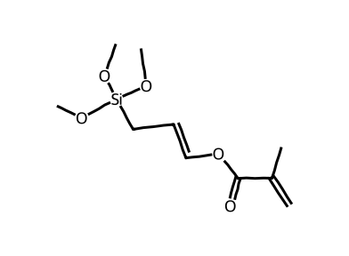 C=C(C)C(=O)OC=CC[Si](OC)(OC)OC